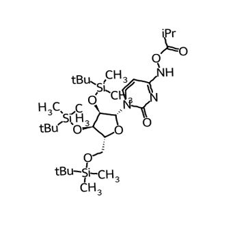 CC(C)C(=O)ONc1ccn([C@@H]2O[C@H](CO[Si](C)(C)C(C)(C)C)[C@@H](O[Si](C)(C)C(C)(C)C)[C@H]2O[Si](C)(C)C(C)(C)C)c(=O)n1